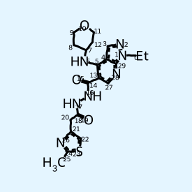 CCn1ncc2c(NC3CCOCC3)c(C(=O)NNC(=O)Cc3csc(C)n3)cnc21